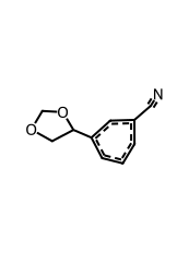 N#Cc1cccc(C2COCO2)c1